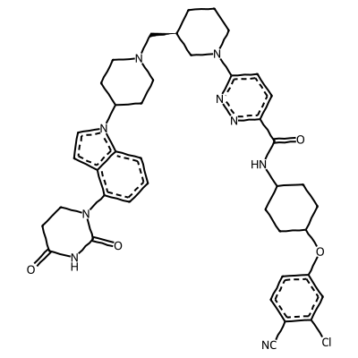 N#Cc1ccc(OC2CCC(NC(=O)c3ccc(N4CCC[C@H](CN5CCC(n6ccc7c(N8CCC(=O)NC8=O)cccc76)CC5)C4)nn3)CC2)cc1Cl